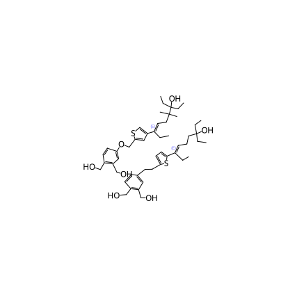 CC/C(=C\CC(C)(C)C(O)(CC)CC)c1csc(COc2ccc(CO)c(CO)c2)c1.CC/C(=C\CCC(O)(CC)CC)c1ccc(CCc2ccc(CO)c(CO)c2)s1